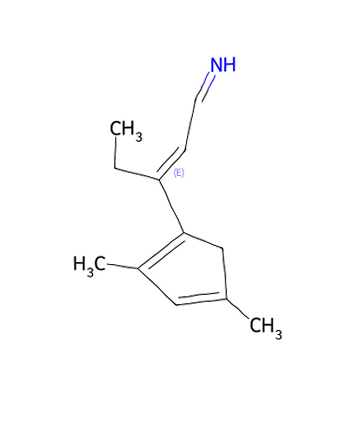 CC/C(=C\C=N)C1=C(C)C=C(C)C1